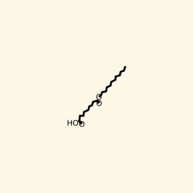 CCCCCCCCCCCCOC(=O)CCCCCCCC(=O)O